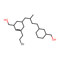 CC(C)CCC1=CC(CO)CC(CC(C)CCC2CCCC(CO)C2)C1